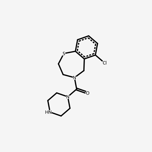 O=C(N1CCNCC1)N1CCSc2cccc(Cl)c2C1